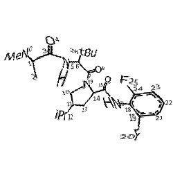 CNC(C)C(=O)NC(C(=O)N1CC(C(C)C)CC1C(=O)Nc1c(F)cccc1F)C(C)(C)C